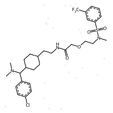 CN(C)C(c1ccc(Cl)cc1)C1CCC(CCNC(=O)COCCN(C)S(=O)(=O)c2cccc(C(F)(F)F)c2)CC1